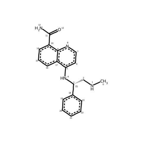 CNC[C@@H](Nc1ccnc2c(C(N)=O)cccc12)c1ccccc1